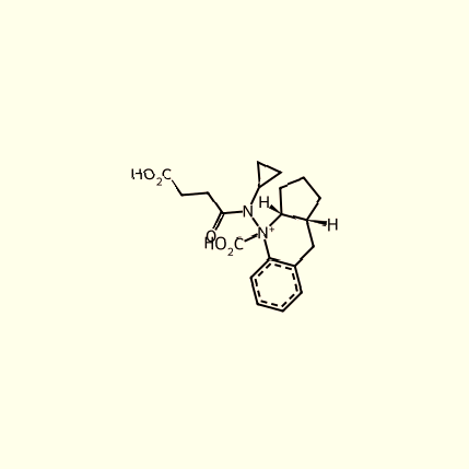 O=C(O)CCC(=O)N(C1CC1)[N+]1(C(=O)O)c2ccccc2C[C@H]2CCC[C@H]21